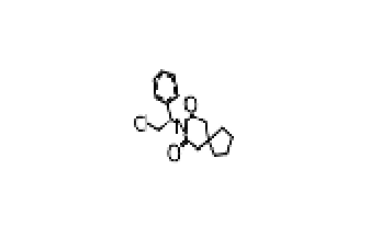 O=C1CC2(CCCC2)CC(=O)N1[C@@H](CCl)c1ccccc1